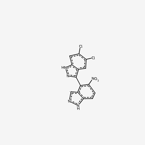 O=[N+]([O-])c1ccc2[nH]n[c]c2c1-c1n[nH]c2cc(Cl)c(Cl)cc12